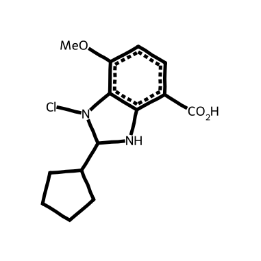 COc1ccc(C(=O)O)c2c1N(Cl)C(C1CCCC1)N2